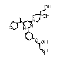 CNCC(O)COc1cccc(-c2nc(N3CCC(O)(CCO)CC3)cc(N(C)C3CCOCC3)n2)c1